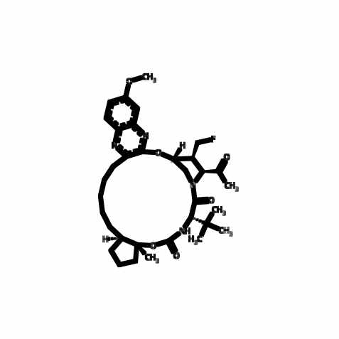 COc1ccc2nc3c(nc2c1)O[C@H]1CN(C(=O)[C@H](C(C)(C)C)NC(=O)O[C@]2(C)CCC[C@H]2CCCCC3)[C@H](C(C)=O)[C@@H]1CF